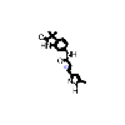 Cc1cc(/C=C/C(=O)Nc2ccc3c(c2)NC(=O)C3(C)C)n[nH]1